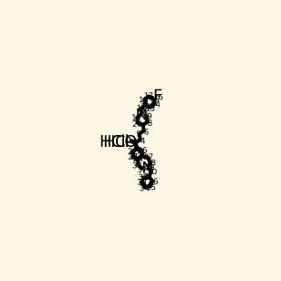 Cl.Cl.O=C(CCCC1CCN(Cc2ccc(F)cc2)CC1)c1ccc2c(c1)CCN(Cc1ccccc1)CC2